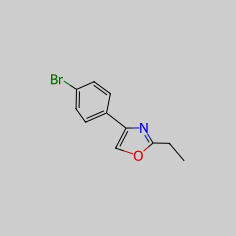 CCc1nc(-c2ccc(Br)cc2)co1